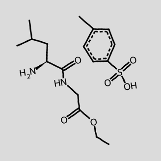 CCOC(=O)CNC(=O)[C@@H](N)CC(C)C.Cc1ccc(S(=O)(=O)O)cc1